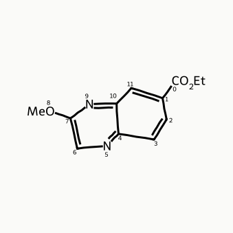 CCOC(=O)c1ccc2ncc(OC)nc2c1